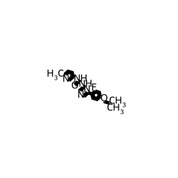 Cc1ccc(NC(=O)Nc2cncc(-c3ccc(OCC(C)C)cc3F)n2)cn1